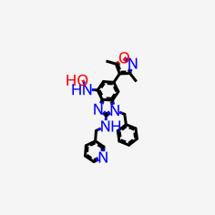 Cc1noc(C)c1-c1cc(NO)c2nc(NCc3cccnc3)n(Cc3ccccc3)c2c1